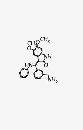 COc1cc2c(cc1OC)C(=C(Nc1ccccc1)c1cccc(CN)c1)C(=O)N2